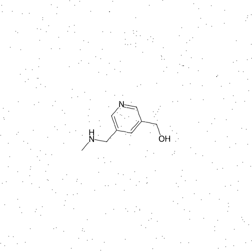 CNCc1cncc(CO)c1